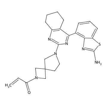 C=CC(=O)N1CC2(CCN(c3nc4c(c(-c5cccc6sc(N)nc56)n3)CCCC4)C2)C1